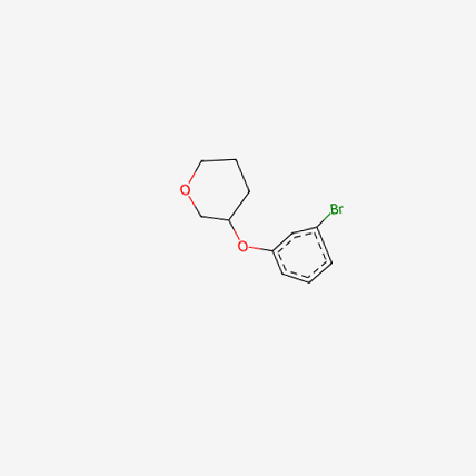 Brc1cccc(OC2CCCOC2)c1